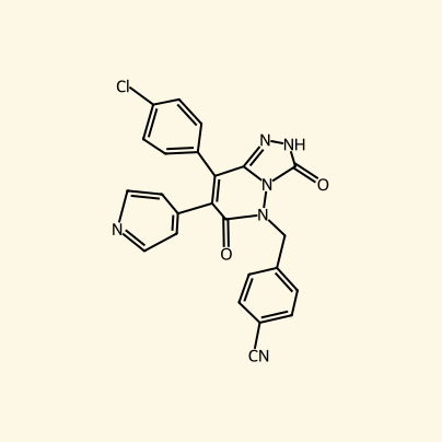 N#Cc1ccc(Cn2c(=O)c(-c3ccncc3)c(-c3ccc(Cl)cc3)c3n[nH]c(=O)n32)cc1